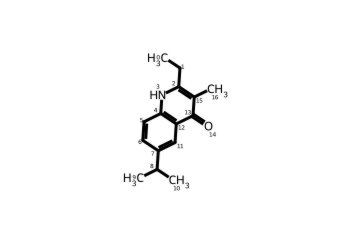 CCc1[nH]c2ccc(C(C)C)cc2c(=O)c1C